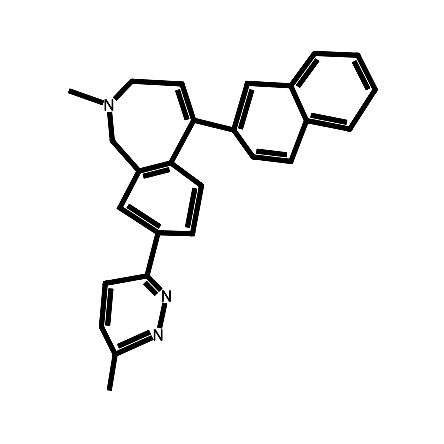 Cc1ccc(-c2ccc3c(c2)CN(C)CC=C3c2ccc3ccccc3c2)nn1